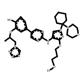 CCOCCCOc1nn(C2(N3CCOCC3)CCCCC2)cc1Nc1ncc(-c2ccc(C#N)c(OC(C)Cn3cnnn3)c2)cn1